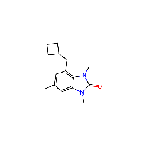 Cc1cc(CC2CCC2)c2c(c1)n(C)c(=O)n2C